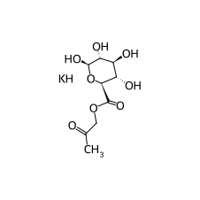 CC(=O)COC(=O)[C@H]1O[C@@H](O)[C@H](O)[C@@H](O)[C@@H]1O.[KH]